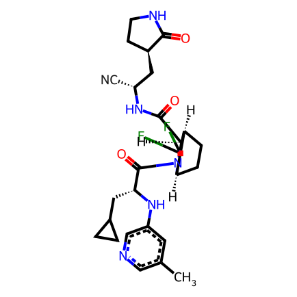 Cc1cncc(N[C@H](CC2CC2)C(=O)N2[C@@H]3CC[C@H]([C@@H]2C(=O)N[C@H](C#N)C[C@H]2CCNC2=O)C(F)(F)C3)c1